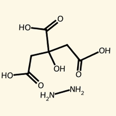 NN.O=C(O)CC(O)(CC(=O)O)C(=O)O